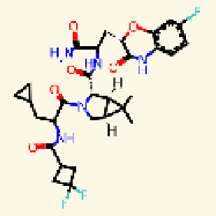 CC1(C)[C@@H]2[C@@H](C(=O)NC(C[C@@H]3Oc4cc(F)ccc4NC3=O)C(N)=O)N(C(=O)C(CC3CC3)NC(=O)C3CC(F)(F)C3)C[C@@H]21